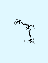 C=C(C)C(=O)OCCCCC=C(C)C(=O)OCCCCOC(=O)C(=C)C